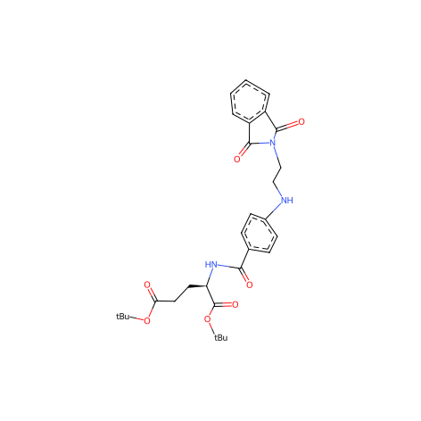 CC(C)(C)OC(=O)CC[C@@H](NC(=O)c1ccc(NCCN2C(=O)c3ccccc3C2=O)cc1)C(=O)OC(C)(C)C